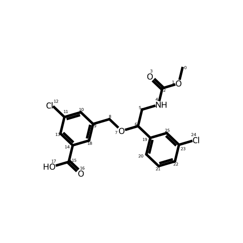 COC(=O)NCC(OCc1cc(Cl)cc(C(=O)O)c1)c1cccc(Cl)c1